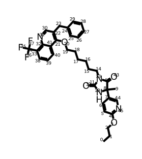 CCCOc1ccc(C2(C)NC(=O)N(CCCCCCOc3c(Cc4ccccc4)cnc4c(C(F)(F)F)cccc34)C2=O)cn1